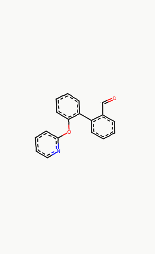 O=[C]c1ccccc1-c1ccccc1Oc1ccccn1